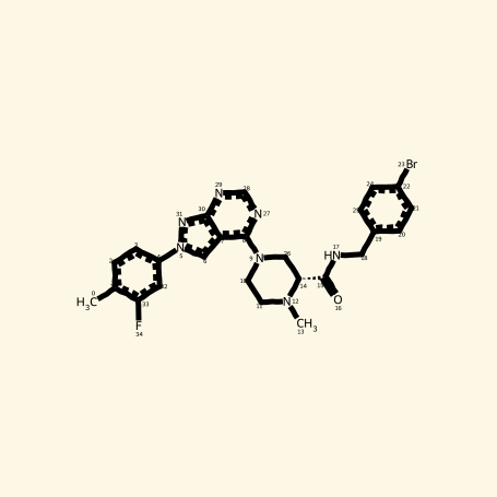 Cc1ccc(-n2cc3c(N4CCN(C)[C@@H](C(=O)NCc5ccc(Br)cc5)C4)ncnc3n2)cc1F